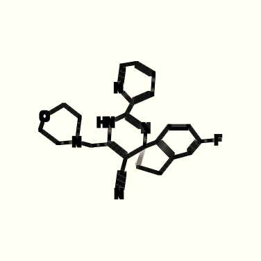 N#CC1=C(CN2CCOCC2)NC(c2ccccn2)=N[C@]12CCc1cc(F)ccc12